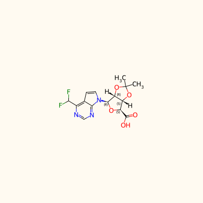 CC1(C)O[C@@H]2[C@H](O1)[C@@H](C(=O)O)O[C@H]2n1ccc2c(C(F)F)ncnc21